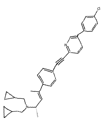 CC(=C[C@H](C)N(CC1CC1)CC1CC1)c1ccc(C#Cc2ccc(-c3ccc(Cl)cc3)cn2)cc1